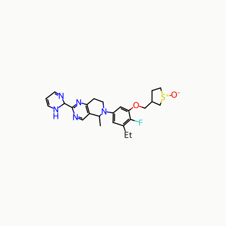 CCc1cc(N2CCc3nc(C4N=CC=CN4)ncc3C2C)cc(OCC2CC[S+]([O-])C2)c1F